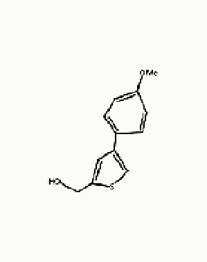 COc1ccc(-c2csc(CO)c2)cc1